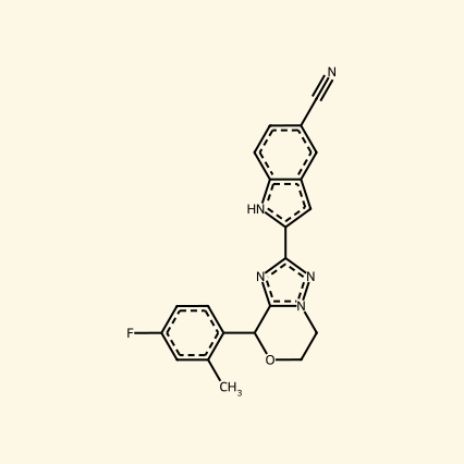 Cc1cc(F)ccc1C1OCCn2nc(-c3cc4cc(C#N)ccc4[nH]3)nc21